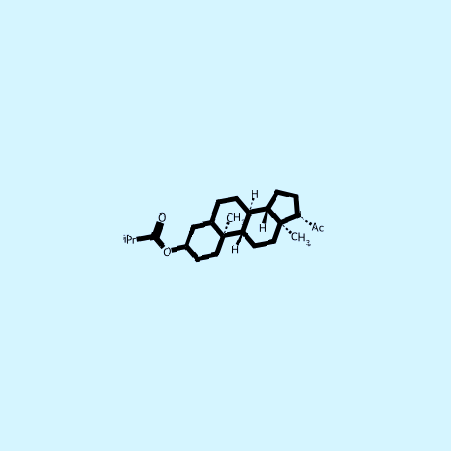 CC(=O)[C@H]1CC[C@H]2[C@@H]3CCC4CC(OC(=O)C(C)C)CC[C@]4(C)[C@H]3CC[C@]12C